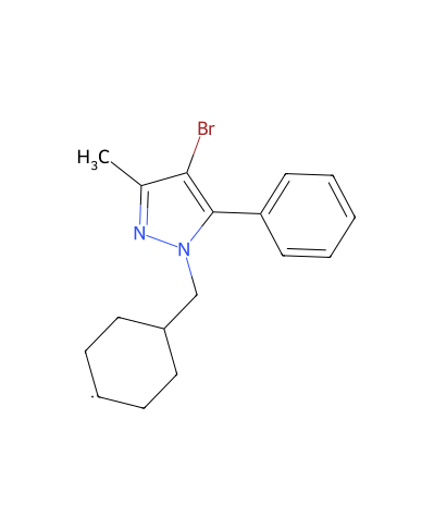 Cc1nn(CC2CC[CH]CC2)c(-c2ccccc2)c1Br